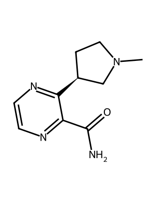 CN1CC[C@H](c2nccnc2C(N)=O)C1